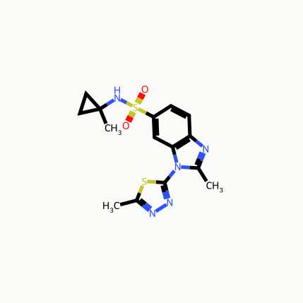 Cc1nnc(-n2c(C)nc3ccc(S(=O)(=O)NC4(C)CC4)cc32)s1